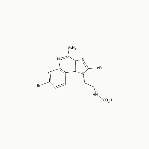 CCCCc1nc2c([AsH2])nc3cc(Br)ccc3c2n1CCNC(=O)O